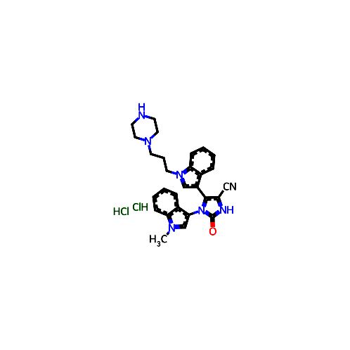 Cl.Cl.Cn1cc(-n2c(-c3cn(CCCN4CCNCC4)c4ccccc34)c(C#N)[nH]c2=O)c2ccccc21